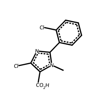 Cn1c(-c2ccccc2Cl)nc(Cl)c1C(=O)O